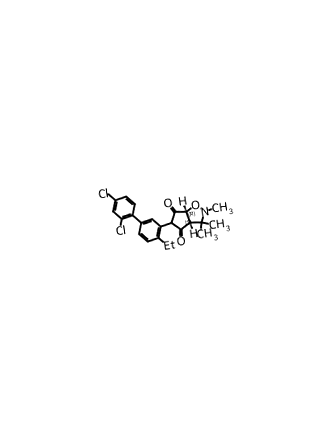 CCc1ccc(-c2ccc(Cl)cc2Cl)cc1C1C(=O)[C@@H]2[C@@H](ON(C)C2(C)C)C1=O